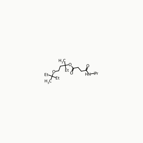 CCC(C)(CC)OCCC(C)(CC)OC(=O)CCC(=O)NC(C)C